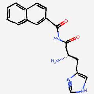 N[C@@H](Cc1c[nH]cn1)C(=O)NC(=O)c1ccc2ccccc2c1